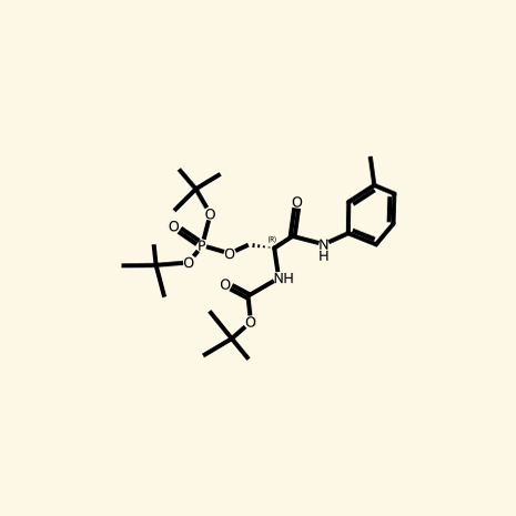 Cc1cccc(NC(=O)[C@@H](COP(=O)(OC(C)(C)C)OC(C)(C)C)NC(=O)OC(C)(C)C)c1